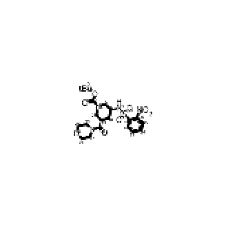 CC(C)(C)OC(=O)N1C[C@@H](NS(=O)(=O)c2ccccc2[N+](=O)[O-])C[C@@H](C(=O)N2CCOCC2)C1